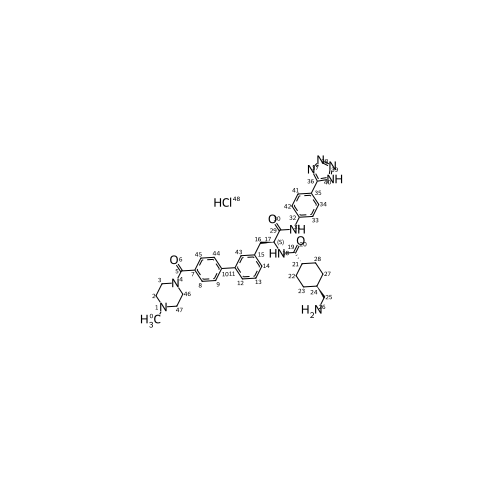 CN1CCN(C(=O)c2ccc(-c3cccc(C[C@H](NC(=O)[C@H]4CC[C@H](CN)CC4)C(=O)Nc4ccc(-c5nnn[nH]5)cc4)c3)cc2)CC1.Cl